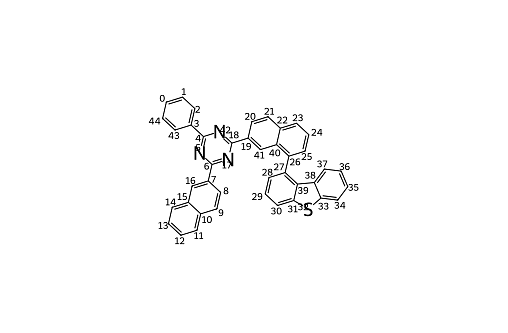 c1ccc(-c2nc(-c3ccc4ccccc4c3)nc(-c3ccc4cccc(-c5cccc6sc7ccccc7c56)c4c3)n2)cc1